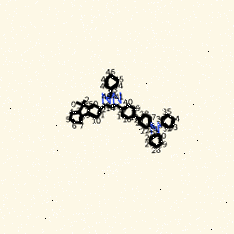 CC1(C)c2ccccc2-c2ccc(-c3cc(-c4ccc(-c5ccc(N(c6ccccc6)c6ccccc6)cc5)cc4)nc(-c4ccccc4)n3)cc21